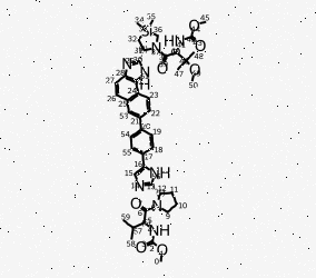 COC(=O)N[C@H](C(=O)N1CCC[C@H]1c1ncc(-c2ccc(-c3ccc4c(ccc5nc([C@@H]6C[Si](C)(C)CN6C(=O)[C@H](NC(=O)OC)C(C)(C)OC)[nH]c54)c3)cc2)[nH]1)C(C)C